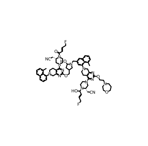 Cc1cccc2cccc(N3CCc4c(nc(OCC5CC(O)N(Cc6cc(N7CCc8c(nc(OCCN9CCCOCC9)nc8N8CCN(C(O)/C=C/CF)[C@@H](CC#N)C8)C7)c7c(C)cccc7c6)C5)nc4N4CCN(C(=O)/C=C/CF)[C@@H](CC#N)C4)C3)c12